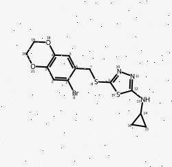 Brc1cc2c(cc1CSc1nnc(NC3CC3)s1)OCCO2